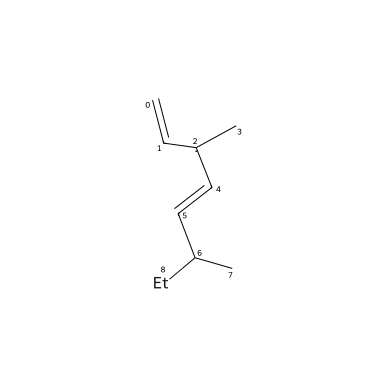 C=C[C](C)C=CC(C)CC